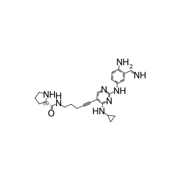 N=Cc1cc(Nc2ncc(C#CCCCNC(=O)[C@@H]3CCCN3)c(NC3CC3)n2)ccc1N